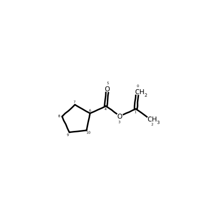 C=C(C)OC(=O)C1CCCC1